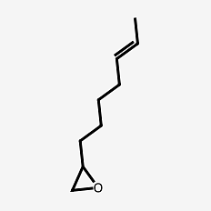 CC=CCCCCC1CO1